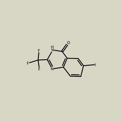 O=c1[nH]c(C(F)(F)F)nc2ccc(I)cc12